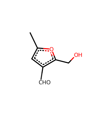 Cc1cc(C=O)c(CO)o1